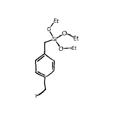 CCO[Si](Cc1ccc(CI)cc1)(OCC)OCC